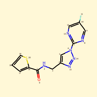 O=C(NCc1cn(-c2ncc(F)cn2)nn1)c1cccs1